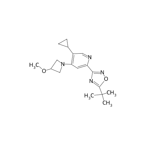 COC1CN(c2cc(-c3noc(C(C)(C)C)n3)ncc2C2CC2)C1